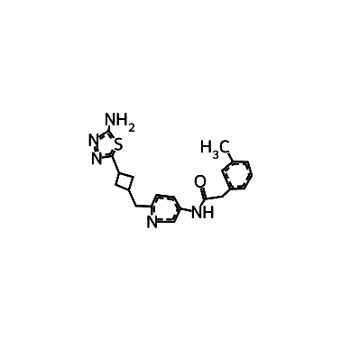 Cc1cccc(CC(=O)Nc2ccc(CC3CC(c4nnc(N)s4)C3)nc2)c1